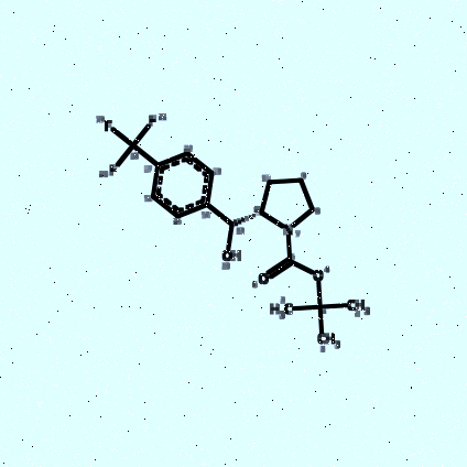 CC(C)(C)OC(=O)N1CCC[C@H]1C(O)c1ccc(C(F)(F)F)cc1